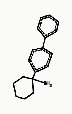 BC1(c2ccc(-c3ccccc3)cc2)CCCCC1